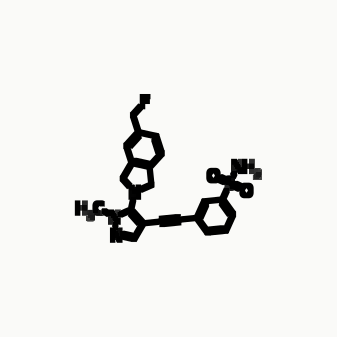 Cn1ncc(C#Cc2cccc(S(N)(=O)=O)c2)c1N1Cc2ccc(CF)cc2C1